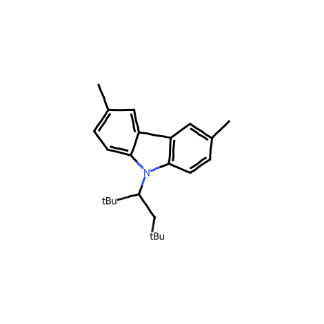 Cc1ccc2c(c1)c1cc(C)ccc1n2C(CC(C)(C)C)C(C)(C)C